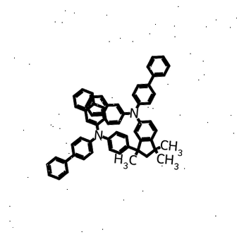 CC1(C)CC(C)(c2ccc(N(c3ccc(-c4ccccc4)cc3)c3ccc4ccccc4c3)cc2)c2cc(N(c3ccc(-c4ccccc4)cc3)c3ccc4ccccc4c3)ccc21